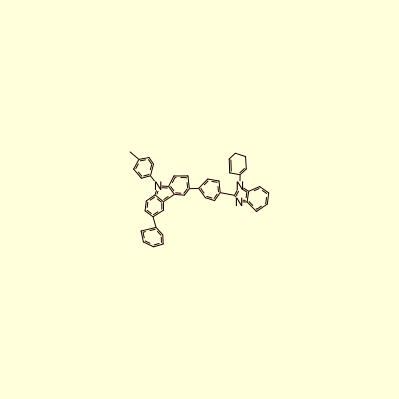 Cc1ccc(-n2c3ccc(-c4ccccc4)cc3c3cc(-c4ccc(-c5nc6ccccc6n5C5=CCCC=C5)cc4)ccc32)cc1